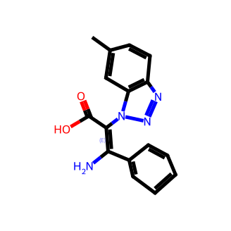 Cc1ccc2nnn(/C(C(=O)O)=C(/N)c3ccccc3)c2c1